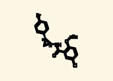 CCCCOc1ccc(Cl)cc1C(=O)N[C@@H]1C[C@@H]1c1ccc(Br)cc1